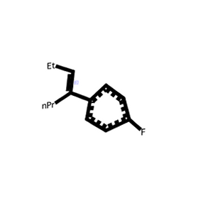 CC/C=C(\CCC)c1ccc(F)cc1